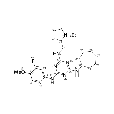 CCN1CCCC1CNc1nc(Nc2cc(F)c(OC)cn2)nc(NC2CCCCCC2)n1